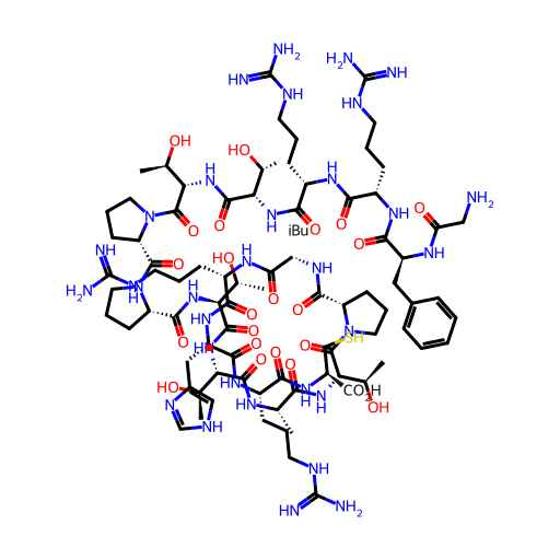 CC[C@H](C)[C@H](NC(=O)[C@@H]1CCCN1C(=O)[C@@H](NC(=O)[C@H](C)NC(=O)[C@@H](NC(=O)[C@@H](NC(=O)[C@@H]1CCCN1C(=O)[C@@H]1CCCN1C(=O)[C@@H](NC(=O)[C@@H](NC(=O)[C@H](CCCNC(=N)N)NC(=O)[C@H](CCCNC(=N)N)NC(=O)[C@H](Cc1ccccc1)NC(=O)CN)[C@@H](C)O)[C@@H](C)O)[C@@H](C)O)[C@@H](C)O)[C@@H](C)O)C(=O)N[C@@H](CCCNC(=N)N)C(=O)N[C@@H](Cc1c[nH]cn1)C(=O)N[C@@H](CCCNC(=N)N)C(=O)N[C@@H](CS)C(=O)O